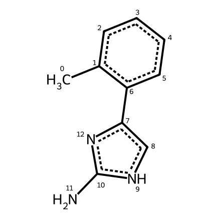 Cc1ccccc1-c1c[nH]c(N)n1